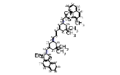 C=C(/C=C1/C=C(C=C/C=C2/CC(/C=C3\Sc4c(ccc5ccccc45)N3CC)CC(C)(C)C2)CC(C)(C)C1)Sc1c(C)ccc2ccccc12